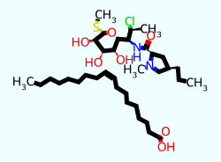 CCCCCCCC/C=C\CCCCCCCC(=O)O.CCC[C@@H]1C[C@@H](C(=O)N[C@@H]([C@H]2O[C@H](SC)[C@H](O)[C@@H](O)[C@H]2O)[C@H](C)Cl)N(C)C1